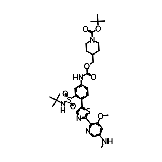 CNc1cnc(-c2ncc(-c3ccc(NC(=O)OCC4CCN(C(=O)OC(C)(C)C)CC4)cc3S(=O)(=O)NC(C)(C)C)s2)c(OC)c1